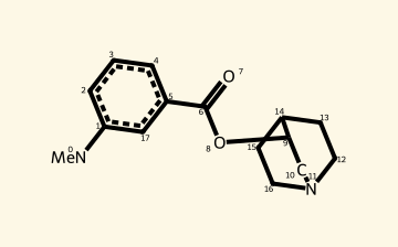 [11CH3]Nc1cccc(C(=O)OC2CN3CCC2CC3)c1